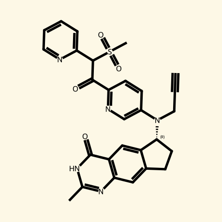 C#CCN(c1ccc(C(=O)C(c2ccccn2)S(C)(=O)=O)nc1)[C@@H]1CCc2cc3nc(C)[nH]c(=O)c3cc21